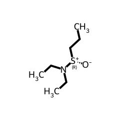 CCC[S@+]([O-])N(CC)CC